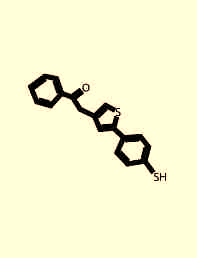 O=C(Cc1csc(-c2ccc(S)cc2)c1)c1ccccc1